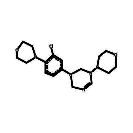 Clc1cc(N2CN=CN(N3CCOCC3)C2)ccc1N1CCOCC1